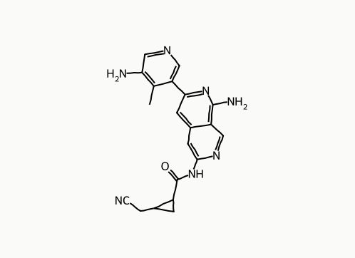 Cc1c(N)cncc1-c1cc2cc(NC(=O)C3CC3CC#N)ncc2c(N)n1